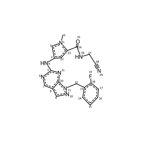 Cn1cc(Nc2ncc3cnn(Cc4ccccc4F)c3n2)cc1C(=O)NCC#N